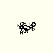 N#Cc1cc(F)c(O)cc1-c1cc(Cn2c(CCC(F)(F)F)nc3c(c2=O)CCCC3)no1